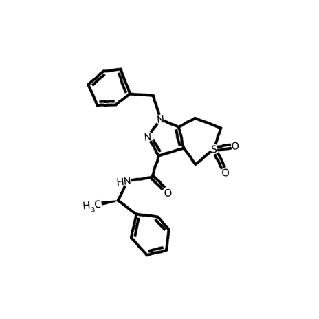 C[C@@H](NC(=O)c1nn(Cc2ccccc2)c2c1CS(=O)(=O)CC2)c1ccccc1